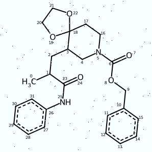 CC(CC1CN(C(=O)OCc2ccccc2)CCC12OCCO2)C(=O)Nc1ccccc1